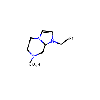 CC(C)CN1C=CN2CCN(C(=O)O)CC21